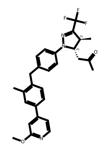 COc1cc(-c2ccc(Cc3ccc(N4N=C(C(F)(F)F)[C@@H](C)[C@@H]4CC(C)=O)cc3)c(C)c2)ccn1